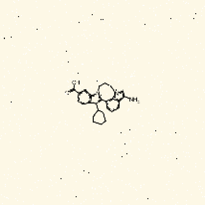 Nc1cn2c3c(cccc13)-c1c(C3CCCCC3)c3ccc(C(=O)O)cc3n1CCC2